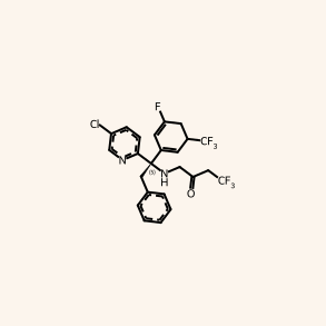 O=C(CN[C@@](Cc1ccccc1)(C1=CC(C(F)(F)F)CC(F)=C1)c1ccc(Cl)cn1)CC(F)(F)F